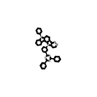 c1ccc(-c2nc(-c3ccccc3)nc(-c3cccc(-n4c5ccnnc5c5ccc6c(c7ccccc7n6-c6ccccc6)c54)c3)n2)cc1